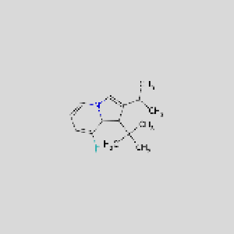 CC(C)c1cn2cccc(F)c2c1C(C)(C)C